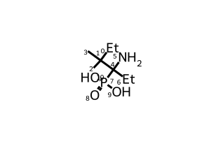 CCC(C)(C)C(N)(CC)P(=O)(O)O